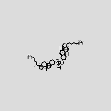 CC(C)CCC[C@@H](C)[C@H]1CC[C@H]2[C@@H]3CC=C4C[C@@H](O[PH](=O)O[C@H]5CC[C@@]6(C)C(=CC[C@H]7[C@@H]8CC[C@H]([C@H](C)CCCC(C)C)[C@@]8(C)CC[C@@H]76)C5)CC[C@]4(C)[C@H]3CC[C@]12C